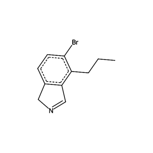 CCCc1c(Br)ccc2c1C=NC2